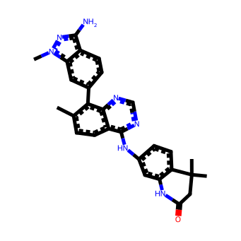 Cc1ccc2c(Nc3ccc4c(c3)NC(=O)CC4(C)C)ncnc2c1-c1ccc2c(N)nn(C)c2c1